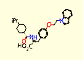 CC(C)[C@H]1CC[C@H](C(=O)N[C@H](Cc2ccc(OCCn3ccc4ccccc43)cc2)C(=O)O)CC1